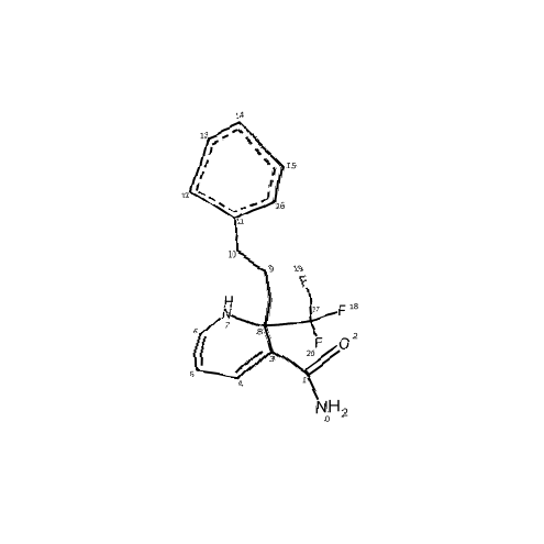 NC(=O)C1=CC=CNC1(CCc1ccccc1)C(F)(F)F